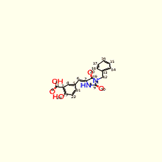 O=C(O)c1cc(/C=C2\NC(=O)N(Cc3ccccc3)C2=O)ccc1O